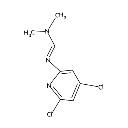 CN(C)C=Nc1cc(Cl)cc(Cl)n1